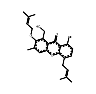 CC(C)=CCOc1c(C)cc2oc3c(CC=C(C)C)ccc(O)c3c(=O)c2c1CO